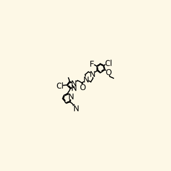 CCOc1cc(N2CCN(C(=O)Cn3nc(-c4cccc(C#N)n4)c(Cl)c3C)CC2)c(F)cc1Cl